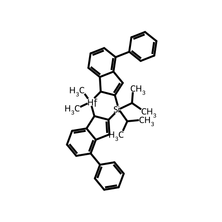 CC(C)[Si]1(C(C)C)C2=Cc3c(-c4ccccc4)cccc3[CH]2[Hf]([CH3])([CH3])[CH]2C1=Cc1c(-c3ccccc3)cccc12